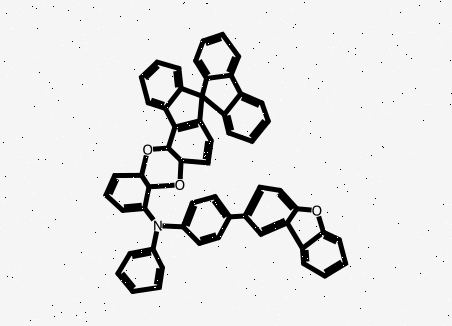 C1=CC2OC3C4=C(C=CC3OC2C(N(c2ccccc2)c2ccc(-c3ccc5oc6ccccc6c5c3)cc2)=C1)C1(c2ccccc24)c2ccccc2-c2ccccc21